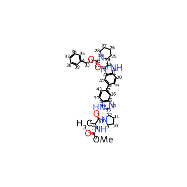 COC(=O)N[C@@H](C)C(=O)N1CCC[C@H]1c1nc2cc(-c3ccc4[nH]c([C@@H]5CCCCN5C(=O)OCc5ccccc5)nc4c3)ccc2[nH]1